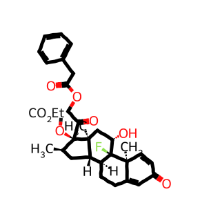 CCOC(=O)O[C@]1(C(=O)COC(=O)Cc2ccccc2)[C@H](C)C[C@H]2[C@@H]3CCC4=CC(=O)C=C[C@]4(C)[C@@]3(F)[C@@H](O)C[C@@]21C